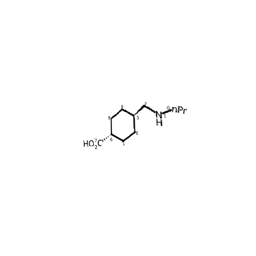 CCCNC[C@H]1CC[C@H](C(=O)O)CC1